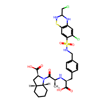 C[C@H](N[C@@H](Cc1ccc(CNS(=O)(=O)c2cc3c(cc2Cl)NC(CCl)NS3)cc1)C(=O)O)C(=O)N1[C@@H]2CCCC[C@@H]2C[C@H]1C(=O)O